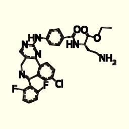 CCOC(=O)[C@@H](CCN)NC(=O)c1ccc(Nc2ncc3c(n2)-c2ccc(Cl)cc2C(c2c(F)cccc2F)=NC3)cc1